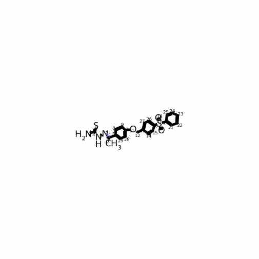 C/C(=N\NC(N)=S)c1ccc(OCc2ccc(S(=O)(=O)c3ccccc3)cc2)cc1